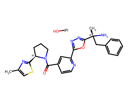 CC(C)O.Cc1csc([C@H]2CCCN2C(=O)c2ccnc(-c3nnc([C@](C)(N)Cc4ccccc4)o3)c2)n1